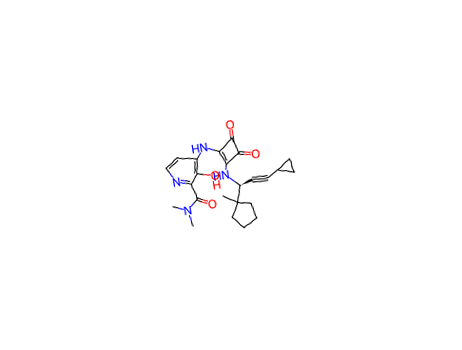 CN(C)C(=O)c1nccc(Nc2c(N[C@@H](C#CC3CC3)C3(C)CCCC3)c(=O)c2=O)c1O